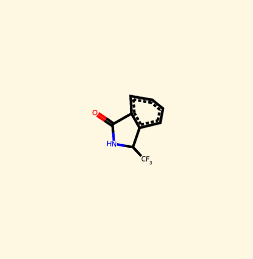 O=C1NC(C(F)(F)F)c2ccccc21